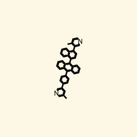 Cc1cncc(-c2ccc(-c3c4ccccc4c(-c4ccc(-c5cnccc5C)c5ccccc45)c4ccccc34)cc2)c1